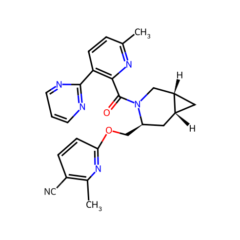 Cc1ccc(-c2ncccn2)c(C(=O)N2C[C@@H]3C[C@@H]3C[C@H]2COc2ccc(C#N)c(C)n2)n1